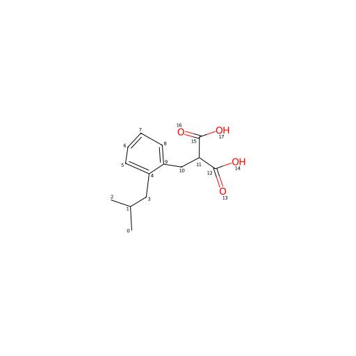 CC(C)Cc1ccccc1CC(C(=O)O)C(=O)O